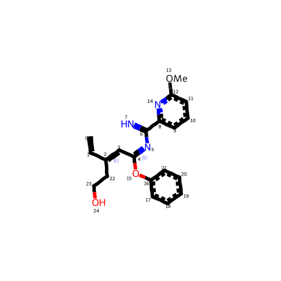 C=C/C(=C/C(=N\C(=N)c1cccc(OC)n1)Oc1ccccc1)CCO